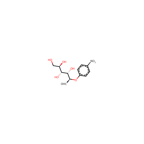 O=C[C@H](Oc1ccc([N+](=O)[O-])cc1)[C@@H](O)[C@H](O)[C@H](O)CO